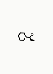 C=CC([O])N1CCCCC1